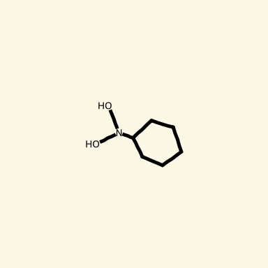 ON(O)C1CCCCC1